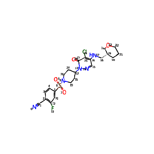 N#Cc1ccc(S(=O)(=O)N2CCC(n3ncc(NC[C@H]4CCCOC4)c(Cl)c3=O)CC2)cc1F